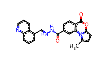 Cc1ccc2oc(=O)c3ccc(C(=O)N/N=C/c4cccc5ncccc45)cc3n12